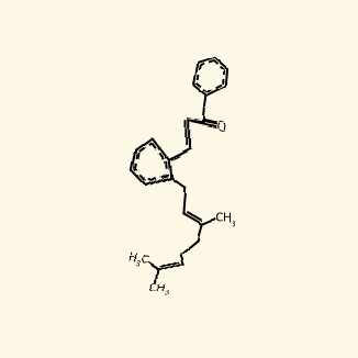 CC(C)=CCC/C(C)=C/Cc1ccccc1C=CC(=O)c1ccccc1